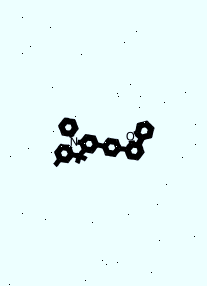 Cc1ccc2c(c1)C(C)(C)c1cc(-c3ccc(-c4cccc5c4oc4ccccc45)cc3)ccc1N2c1ccccc1